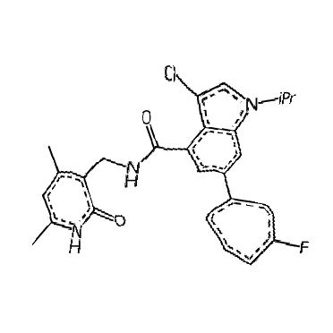 Cc1cc(C)c(CNC(=O)c2cc(-c3cccc(F)c3)cc3c2c(Cl)cn3C(C)C)c(=O)[nH]1